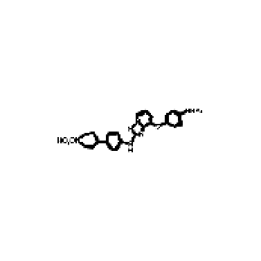 CC(=O)Nc1ccc(Sc2cccn3nc(Nc4ccc(C5CCN(C(=O)O)CC5)cc4)nc23)cc1